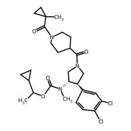 CC(OC(=O)N(C)[C@@H]1CN(C(=O)C2CCN(C(=O)C3(C)CC3)CC2)C[C@H]1c1ccc(Cl)c(Cl)c1)C1CC1